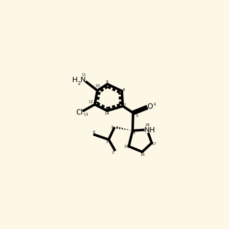 CC(C)C[C@@]1(C(=O)c2ccc(N)c(Cl)c2)CCCN1